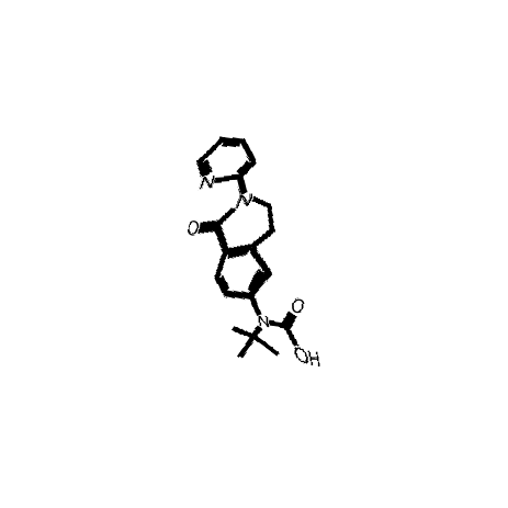 CC(C)(C)N(C(=O)O)c1ccc2c(c1)CCN(c1ccccn1)C2=O